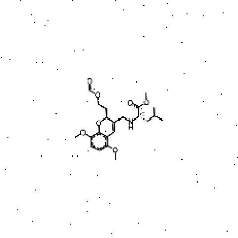 COC(=O)[C@H](CC(C)C)NCC1=Cc2c(OC)ccc(OC)c2OC1CCOC=O